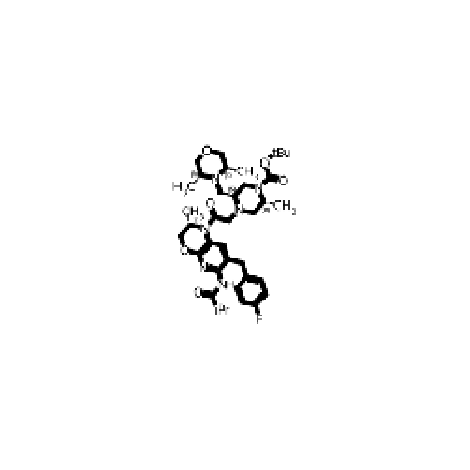 CC(C)C(=O)Nc1nc2c(cc1Cc1ccc(F)cc1)N(C(=O)CN1C[C@@H](C)N(C(=O)OC(C)(C)C)C[C@@H]1CN1[C@H](C)COC[C@H]1C)[C@@H](C)CO2